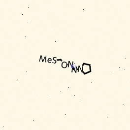 CSCO/N=N/N1CCCC1